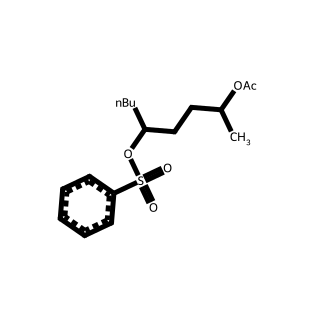 CCCCC(CCC(C)OC(C)=O)OS(=O)(=O)c1ccccc1